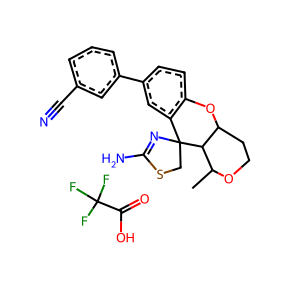 CC1OCCC2Oc3ccc(-c4cccc(C#N)c4)cc3C3(CSC(N)=N3)C12.O=C(O)C(F)(F)F